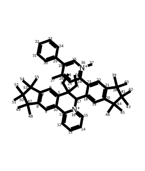 CCC1(CC)c2cc3c(cc2-c2cccc[n+]2C1c1cc2c(cc1-c1cc(C)c(-c4ccccc4)c[n+]1C)C(C)(C)C(C)(C)C2(C)C)C(C)(C)C(C)(C)C3(C)C